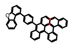 c1ccc(-c2c3ccccc3c(-c3ccc(-c4cccc5oc6ccccc6c45)cc3)c3ccccc23)c(-c2cccc3ccccc23)c1